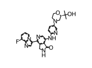 CC(C)(O)[C@H]1CN(c2ccc(Nc3cnc(-c4cnc5c(F)cccn45)c4c3C(=O)NC4)nc2)CCO1